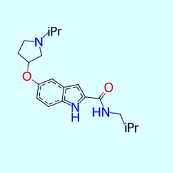 CC(C)CNC(=O)c1cc2cc(OC3CCN(C(C)C)C3)ccc2[nH]1